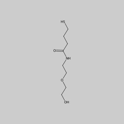 O=C(CCCS)NCCOCCO